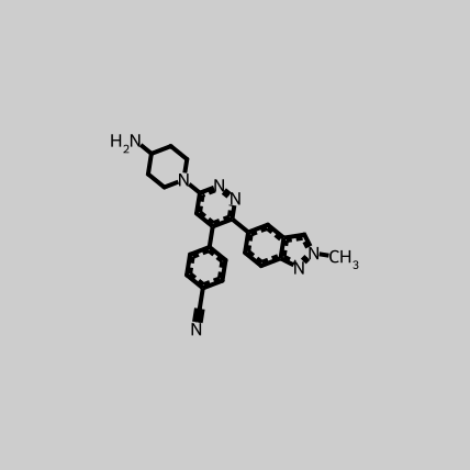 Cn1cc2cc(-c3nnc(N4CCC(N)CC4)cc3-c3ccc(C#N)cc3)ccc2n1